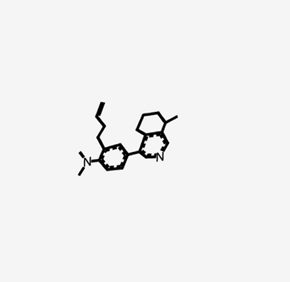 C=CCCc1cc(-c2cncc3c2CCCC3C)ccc1N(C)C